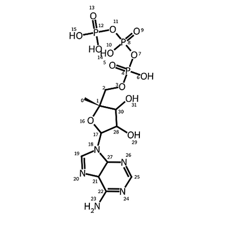 C[C@]1(COP(=O)(O)OP(=O)(O)OP(=O)(O)O)OC(N2C=NC3C(N)=NC=NC32)C(O)C1O